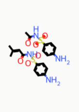 CC(=O)NS(=O)(=O)c1ccc(N)cc1.CC(C)=CC(=O)NS(=O)(=O)c1ccc(N)cc1